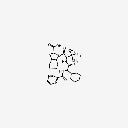 CC(C)(C)C(NC(=O)C(NC(=O)c1cnccn1)C1CCCCC1)C(=O)N1C(C(=O)O)CC2CCCCC21